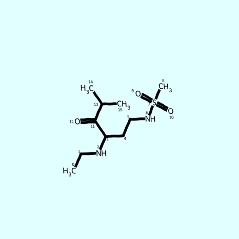 CCNC(CCNS(C)(=O)=O)C(=O)C(C)C